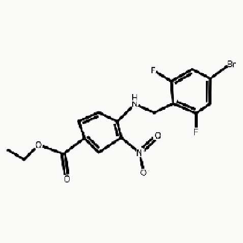 CCOC(=O)c1ccc(NCc2c(F)cc(Br)cc2F)c([N+](=O)[O-])c1